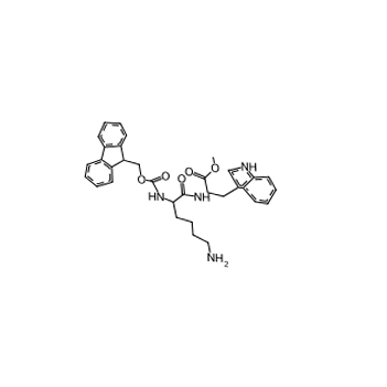 COC(=O)C(Cc1c[nH]c2ccccc12)NC(=O)C(CCCCN)NC(=O)OCC1c2ccccc2-c2ccccc21